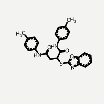 Cc1ccc(NC(=O)CC(Sc2nc3ccccc3o2)C(=O)Nc2ccc(C)cc2)cc1